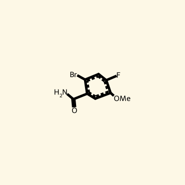 COc1cc(C(N)=O)c(Br)cc1F